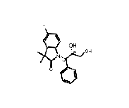 CC1(C)C(=O)N([C@@H](c2ccccc2)[C@H](O)CO)c2ccc(F)cc21